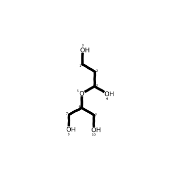 OCCC(O)OC(CO)CO